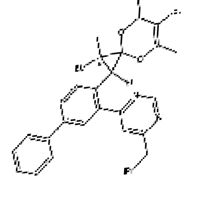 CCC1=C(C)OC2(OC1C)C(CC)(c1ccc(-c3ccccc3)cc1-c1cc(CC(C)C)ncn1)[C@]2(C)CC